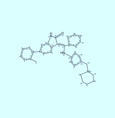 Cc1ccccc1-c1ccc2c(c1)NC(=O)C2=C(Nc1ccc(CN2CCCCC2)cc1)c1ccccc1